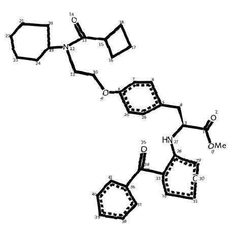 COC(=O)[C@H](Cc1ccc(OCCN(C(=O)C2CCC2)C2CCCCC2)cc1)Nc1ccccc1C(=O)c1ccccc1